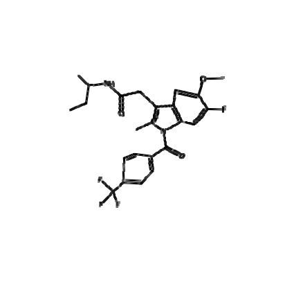 CCC(C)NC(=O)Cc1c(C)n(C(=O)c2ccc(C(F)(F)F)cc2)c2cc(F)c(OC)cc12